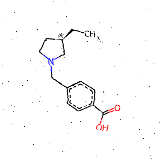 CC[C@@H]1CCN(Cc2ccc(C(=O)O)cc2)C1